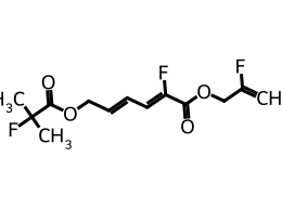 C=C(F)COC(=O)/C(F)=C/C=C/COC(=O)C(C)(C)F